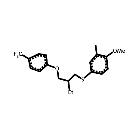 CCC(COc1ccc(C(F)(F)F)cc1)CSc1ccc(OC)c(C)c1